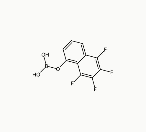 OB(O)Oc1cccc2c(F)c(F)c(F)c(F)c12